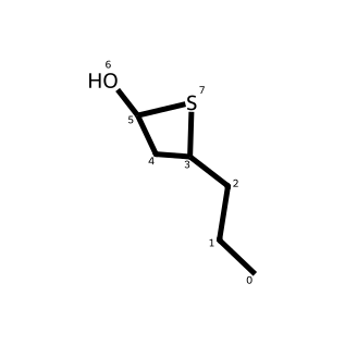 CCCC1CC(O)S1